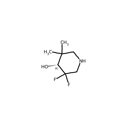 CC1(C)CNCC(F)(F)[C@@H]1O